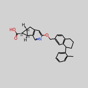 Cc1ccccc1C1CCCc2ccc(COc3cc4c(cn3)[C@H]3[C@@H](C4)[C@@H]3C(=O)O)cc21